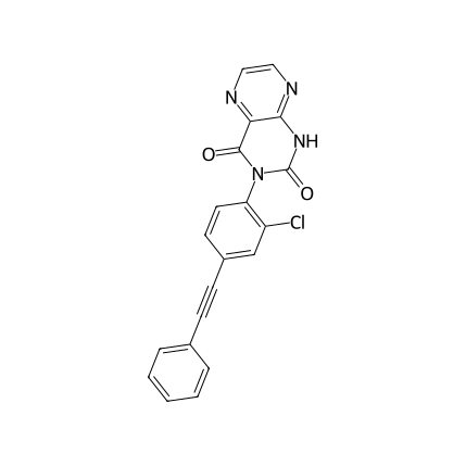 O=c1[nH]c2nccnc2c(=O)n1-c1ccc(C#Cc2ccccc2)cc1Cl